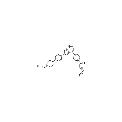 CCN1CCC(c2ccc(-c3cc4c(N5CCN(C(=O)C[C@H]6C[C@H]6F)CC5)ccnn4c3)cc2)CC1